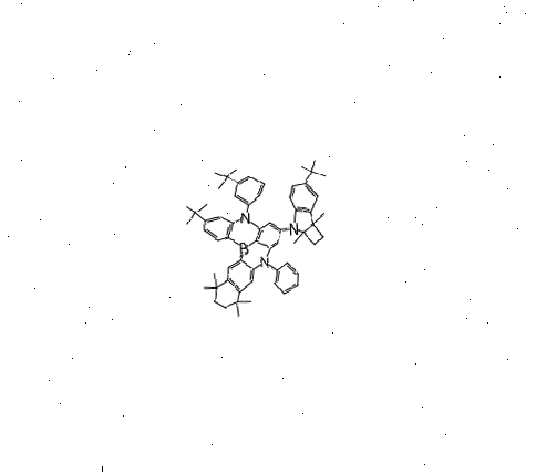 CC(C)(C)c1cccc(N2c3cc(C(C)(C)C)ccc3B3c4cc5c(cc4N(c4ccccc4)c4cc(N6c7ccc(C(C)(C)C)cc7C7(C)CCC67C)cc2c43)C(C)(C)CCC5(C)C)c1